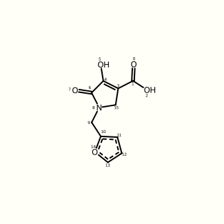 O=C(O)C1=C(O)C(=O)N(Cc2ccco2)C1